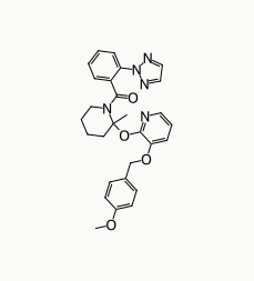 COc1ccc(COc2cccnc2OC2(C)CCCCN2C(=O)c2ccccc2-n2nccn2)cc1